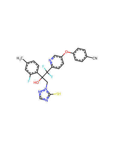 Cc1ccc(C(O)(Cn2ncnc2S)C(F)(F)c2ccc(Oc3ccc(C#N)cc3)cn2)c(F)c1